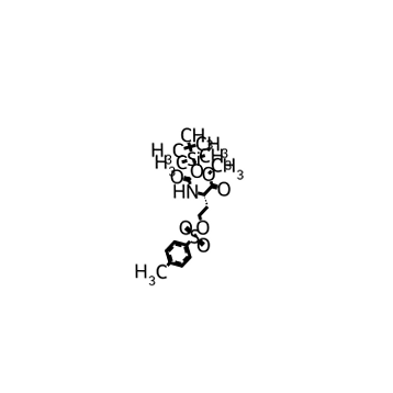 COC(=O)[C@H](CCOS(=O)(=O)c1ccc(C)cc1)NC(=O)O[Si](C)(C)C(C)(C)C